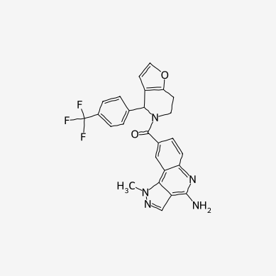 Cn1ncc2c(N)nc3ccc(C(=O)N4CCc5occc5C4c4ccc(C(F)(F)F)cc4)cc3c21